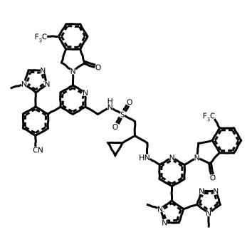 Cn1cnnc1-c1ccc(C#N)cc1-c1cc(CNS(=O)(=O)CC(CNc2cc(-c3c(-c4nncn4C)cnn3C)cc(N3Cc4c(cccc4C(F)(F)F)C3=O)n2)C2CC2)nc(N2Cc3c(cccc3C(F)(F)F)C2=O)c1